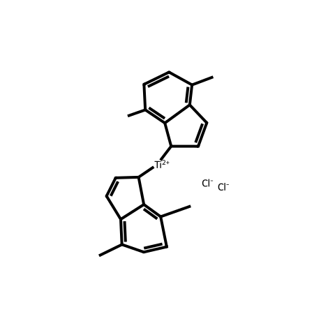 Cc1ccc(C)c2c1C=C[CH]2[Ti+2][CH]1C=Cc2c(C)ccc(C)c21.[Cl-].[Cl-]